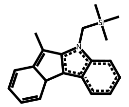 CC1=C2C=CC=CC2c2c1n(C[Si](C)(C)C)c1ccccc21